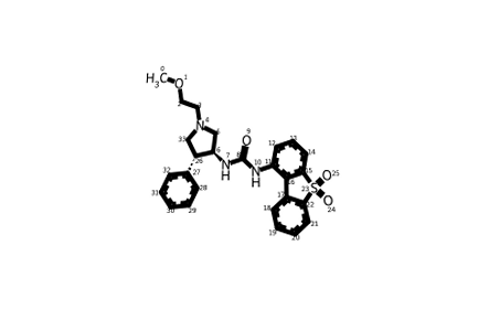 COCCN1C[C@@H](NC(=O)Nc2cccc3c2-c2ccccc2S3(=O)=O)[C@H](c2ccccc2)C1